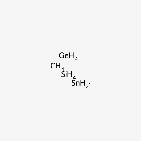 C.[GeH4].[SiH4].[SnH2]